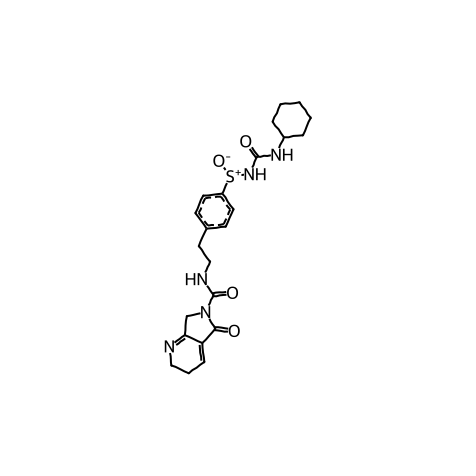 O=C(NC1CCCCC1)N[S+]([O-])c1ccc(CCNC(=O)N2CC3=NCCC=C3C2=O)cc1